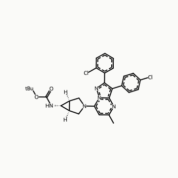 Cc1cc(N2C[C@@H]3[C@H](C2)[C@H]3NC(=O)OC(C)(C)C)n2nc(-c3ccccc3Cl)c(-c3ccc(Cl)cc3)c2n1